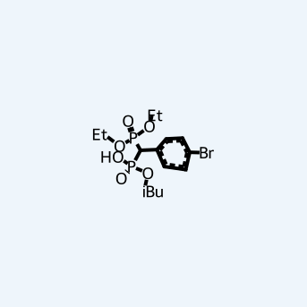 CCOP(=O)(OCC)C(c1ccc(Br)cc1)P(=O)(O)OC(C)CC